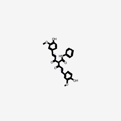 COc1cc(/C=C/C(=O)C(C(=O)/C=C/c2ccc(O)c(OC)c2)C(=O)Nc2ccccc2)ccc1O